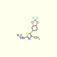 CNc1nc(C)c(-c2ccc3c(c2)OC(F)(F)O3)s1